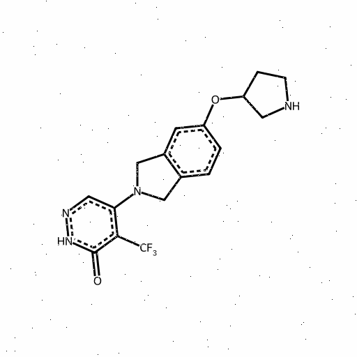 O=c1[nH]ncc(N2Cc3ccc(OC4CCNC4)cc3C2)c1C(F)(F)F